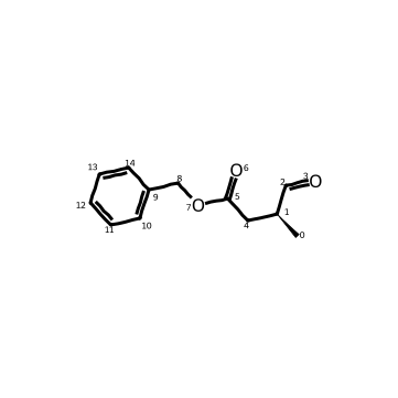 C[C@H](C=O)CC(=O)OCc1ccccc1